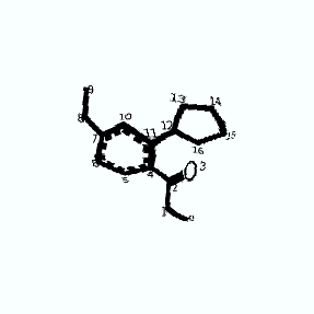 CCC(=O)c1ccc(CC)cc1C1CCCC1